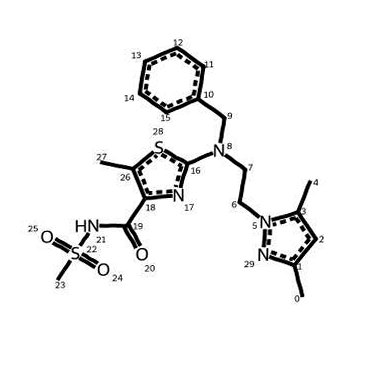 Cc1cc(C)n(CCN(Cc2ccccc2)c2nc(C(=O)NS(C)(=O)=O)c(C)s2)n1